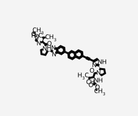 COO/C=N\[C@H](C(=O)N1CCC[C@H]1c1nc2cc(-c3ccc4cc(C#Cc5c[nH]c([C@@H]6CCCN6C(=O)[C@@H](NC(=O)OC)C(C)C)n5)ccc4c3)ccc2[nH]1)C(C)C